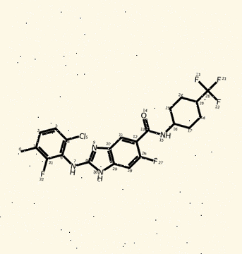 Cc1ccc(Cl)c(Nc2nc3cc(C(=O)NC4CCC(C(F)(F)F)CC4)c(F)cc3[nH]2)c1F